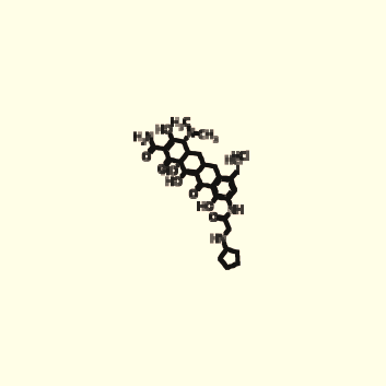 CN(C)[C@@H]1C(O)=C(C(N)=O)C(=O)[C@@]2(O)C(O)=C3C(=O)c4c(O)c(NC(=O)CNC5CCCC5)cc(I)c4CC3CC12.Cl.Cl